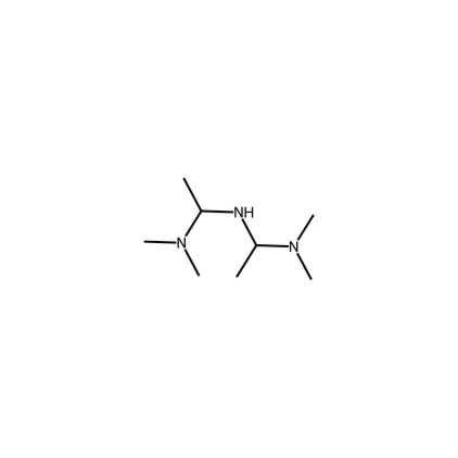 CC(NC(C)N(C)C)N(C)C